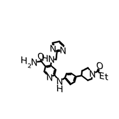 CCC(=O)N1CCC(c2ccc(Nc3cc(NCc4ncccn4)c(C(N)=O)cn3)cc2)CC1